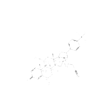 C[C@]12C=CC(=O)C=C1[C@@H](F)C[C@H]1[C@@H]3C[C@H]4OC(c5ccc(C(F)(F)F)cc5)O[C@@]4(C(=O)SCC#N)[C@@]3(C)C[C@H](O)[C@@]12F